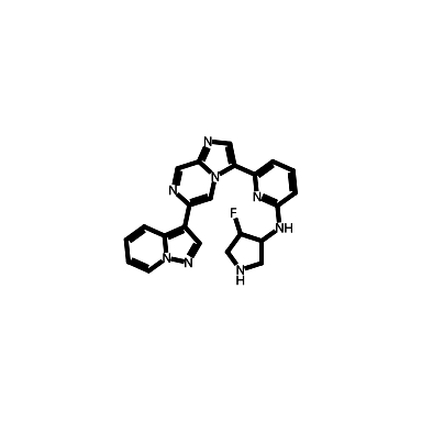 FC1CNCC1Nc1cccc(-c2cnc3cnc(-c4cnn5ccccc45)cn23)n1